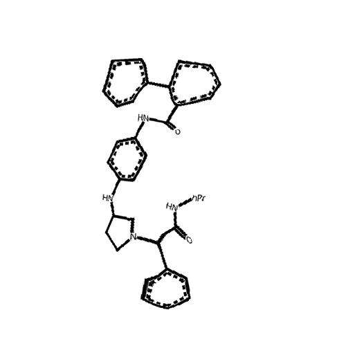 CCCNC(=O)C(c1ccccc1)N1CCC(Nc2ccc(NC(=O)c3ccccc3-c3ccccc3)cc2)C1